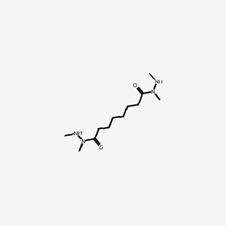 CNN(C)C(=O)CCCCCCC(=O)N(C)NC